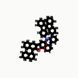 c1ccc(-c2ccccc2N(c2ccc3c(c2)C2(c4ccccc4-c4ccccc42)c2ccccc2-3)c2ccc3oc4c(-c5cccc6ccccc56)c5ccccc5cc4c3c2)cc1